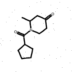 CC1CC(=O)CCN1C(=O)C1CCCC1